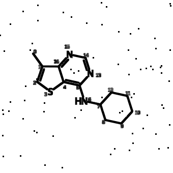 Cc1csc2c(NC3CCCCC3)ncnc12